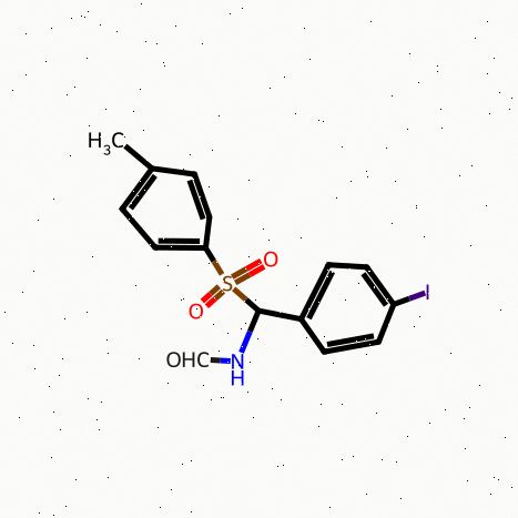 Cc1ccc(S(=O)(=O)C(NC=O)c2ccc(I)cc2)cc1